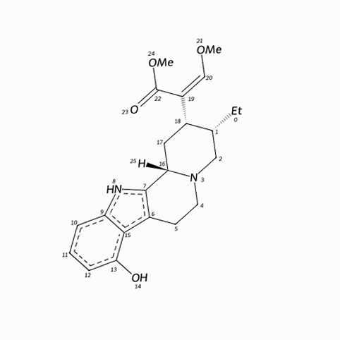 CC[C@@H]1CN2CCc3c([nH]c4cccc(O)c34)[C@@H]2C[C@@H]1/C(=C/OC)C(=O)OC